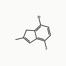 CC1=Cc2c(F)ccc(Br)c2C1